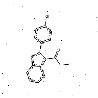 O=C(CCl)c1c(-c2ccc(Cl)cc2)nc2ccccn12